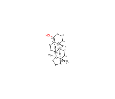 C[C@@]12CCC[C@H]1[C@@H]1CCC3=C(O)CCC[C@@H]3[C@H]1CC2